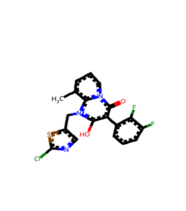 Cc1cccn2c(=O)c(-c3cccc(F)c3F)c(O)[n+](Cc3cnc(Cl)s3)c12